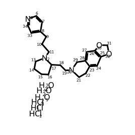 Cl.Cl.Cl.O.O.O.c1cc(CCCN2CCCCC2CCN2CCc3cc4c(cc3C2)OCO4)ccn1